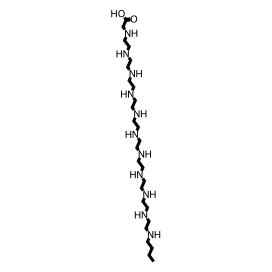 CCCCNCCNCCNCCNCCNCCNCCNCCNCCNCCNCCNCC(=O)O